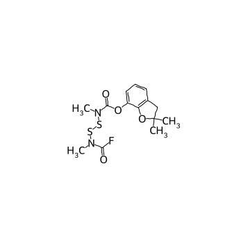 CN(SSN(C)C(=O)Oc1cccc2c1OC(C)(C)C2)C(=O)F